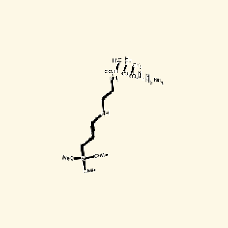 CC(=O)O.CC(=O)O.CC(=O)O.CO[Si](CCCNCCN)(OC)OC.N.N.N